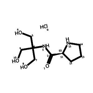 Cl.O=C(NC(CO)(CO)CO)[C@@H]1CCCN1